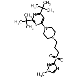 Cn1cnc(S(=O)(=O)CCCN2CCN(c3cc(C(C)(C)C)nc(C(C)(C)C)n3)CC2)n1